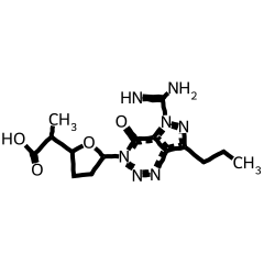 CCCc1nn(C(=N)N)c2c(=O)n(C3CCC(C(C)C(=O)O)O3)nnc12